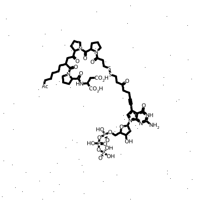 CC(=O)CCCCCC(CC(=O)C1CCCN1C(=O)C1CCCN1C(=O)CCSSCCC(=O)CCC#Cc1cn(C2CC(O)C(COP(=O)(O)OP(=O)(O)OP(=O)(O)O)O2)c2nc(N)[nH]c(=O)c12)C(=O)N1CCCC1C(=O)NC(CC(=O)O)C(=O)O